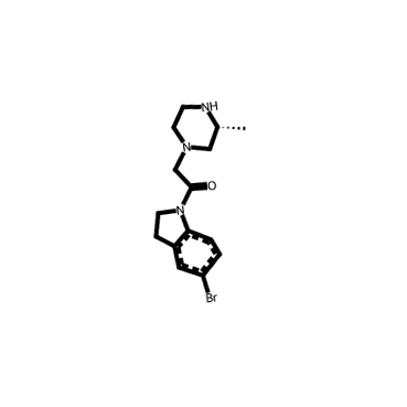 C[C@@H]1CN(CC(=O)N2CCc3cc(Br)ccc32)CCN1